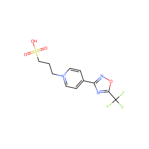 O=S(=O)(O)CCC[n+]1ccc(-c2noc(C(F)(F)F)n2)cc1